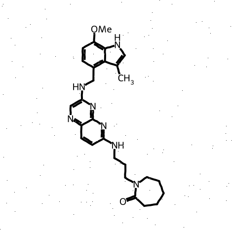 COc1ccc(CNc2cnc3ccc(NCCCN4CCCCCC4=O)nc3n2)c2c(C)c[nH]c12